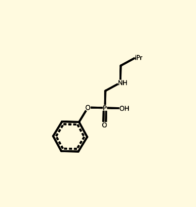 CC(C)CNCP(=O)(O)Oc1ccccc1